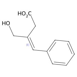 O=C(O)C/C(=C\c1ccccc1)CO